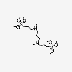 CO[Si](CCCN(C)CCCN(C)CCC[Si](OC)(OC)OC)(OC)OC